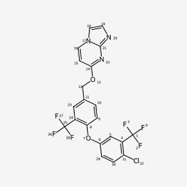 FC(F)(F)c1cc(Oc2ccc(COc3ccn4ccnc4n3)cc2C(F)(F)F)ccc1Cl